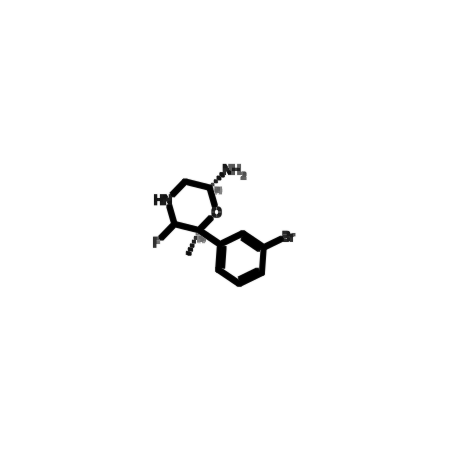 C[C@@]1(c2cccc(Br)c2)O[C@@H](N)CNC1F